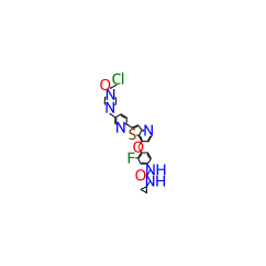 O=C(Nc1ccc(Oc2ccnc3cc(-c4ccc(CN5CCN(C(=O)CCl)CC5)cn4)sc23)c(F)c1)NC1CC1